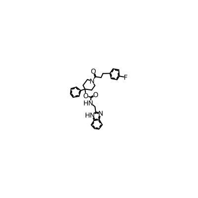 O=C(NCc1nc2ccccc2[nH]1)OC1(c2ccccc2)CCN(C(=O)CCc2ccc(F)cc2)CC1